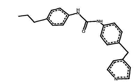 CCCc1ccc(NC(=O)Nc2ccc(Cc3ccncc3)cc2)cc1